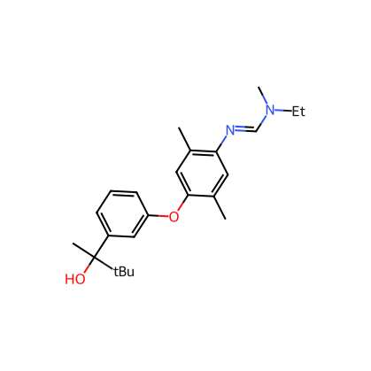 CCN(C)C=Nc1cc(C)c(Oc2cccc(C(C)(O)C(C)(C)C)c2)cc1C